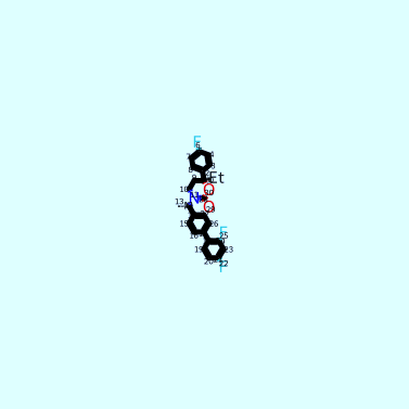 [CH2]C[C@]1(c2ccc(F)cc2)CCN([C@@H](C)c2ccc(-c3ccc(F)cc3F)cc2)C(=O)O1